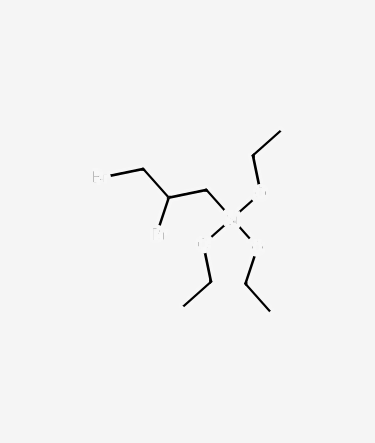 CCO[Si](CC(Br)CBr)(OCC)OCC